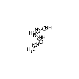 Cc1cn(-c2cccc3[nH]c(-c4n[nH]c5ncc(C6CCNCC6)cc45)cc23)cn1